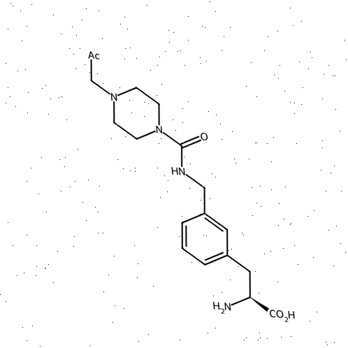 CC(=O)CN1CCN(C(=O)NCc2cccc(C[C@H](N)C(=O)O)c2)CC1